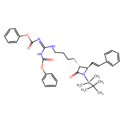 CC(C)(C)[Si](C)(C)N1C(=O)[C@H](CCCCNC(=NC(=O)Oc2ccccc2)NC(=O)Oc2ccccc2)[C@H]1C=Cc1ccccc1